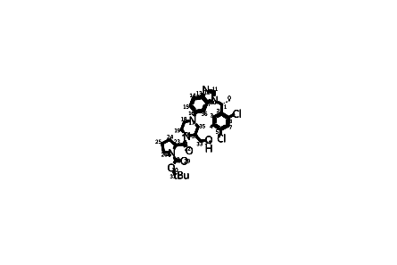 C[C@H](c1ccc(Cl)cc1Cl)n1cnc2ccc(N3CCN(C(=O)C4CCCN4C(=O)OC(C)(C)C)C(CO)C3)cc21